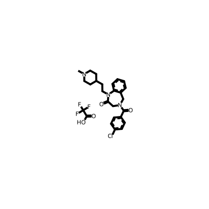 CN1CCC(CCN2C(=O)CN(C(=O)c3ccc(Cl)cc3)Cc3ccccc32)CC1.O=C(O)C(F)(F)F